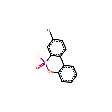 CCc1ccc2c(c1)P(=O)(O)Oc1ccccc1-2